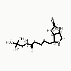 CC(C)C(C)(C)CNC(=O)CCCCC1SCC2NC(=O)NC21